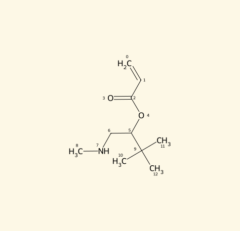 C=CC(=O)OC(CNC)C(C)(C)C